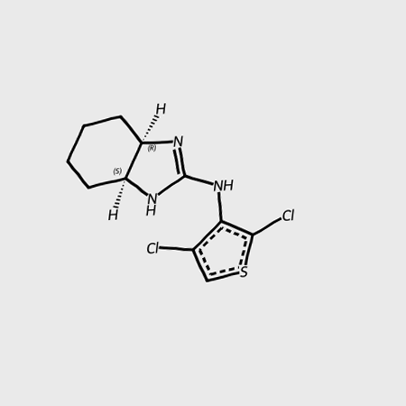 Clc1csc(Cl)c1NC1=N[C@@H]2CCCC[C@@H]2N1